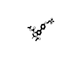 CC(=O)N1c2ccc(-c3ccc(OCCS(C)(=O)=O)cc3)cc2N(C(=O)OC(C)C)C[C@@H]1C